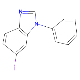 Ic1ccc2ncn(-c3ccccc3)c2c1